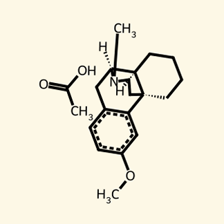 CC(=O)O.COc1ccc2c(c1)[C@]13CCCC[C@@H]1[C@H](C2)N(C)CC3